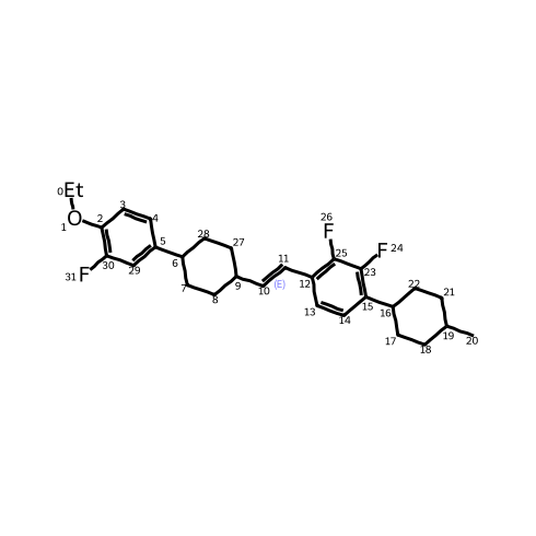 CCOc1ccc(C2CCC(/C=C/c3ccc(C4CCC(C)CC4)c(F)c3F)CC2)cc1F